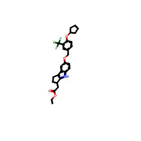 CCOC(=O)CC1CCc2c1[nH]c1ccc(OCc3ccc(OC4CCCC4)c(C(F)(F)F)c3)cc21